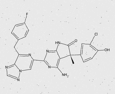 C[C@]1(c2ccc(O)c(Cl)c2)C(=O)Nc2nc(-c3cn4ncnc4c(Cc4ccc(F)cc4)n3)nc(N)c21